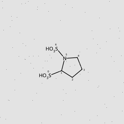 O=S(=O)(O)C1CCCN1S(=O)(=O)O